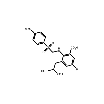 COc1ccc(S(=O)(=O)CNc2c(CC(C(=O)O)C(=O)O)cc(Br)cc2C(=O)O)cc1